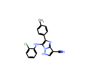 Cc1ccc(-c2nc3c(C#N)c[nH]n3c2Nc2ccccc2Cl)cc1